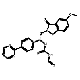 COc1ccc2c(c1)C(=O)N(C[C@H](NC(=O)NC=O)c1ccc(-c3ncccn3)cc1)C2